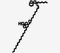 CCCCCC=CCC=CCCCCCCCCC(COCCCCCCCC/C=C\C[C@@H](CCCCCC)OC1CCCCO1)OC(=O)O